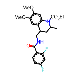 CCOC(=O)N1c2cc(OC)c(OC)cc2C(CNC(=O)c2ccc(F)cc2F)CC1C